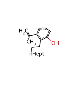 C=C(C)c1cccc(O)c1CCCCCCCCC